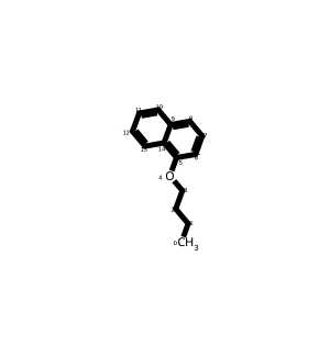 CCCCOc1[c]ccc2ccccc12